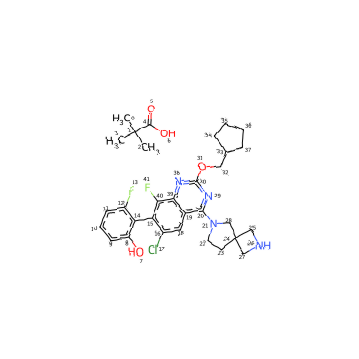 CC(C)(C)C(=O)O.Oc1cccc(F)c1-c1c(Cl)cc2c(N3CCC4(CNC4)C3)nc(OCC3CCCC3)nc2c1F